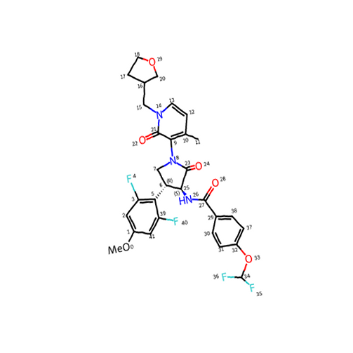 COc1cc(F)c([C@@H]2CN(c3c(C)ccn(CC4CCOC4)c3=O)C(=O)[C@H]2NC(=O)c2ccc(OC(F)F)cc2)c(F)c1